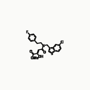 COC(=O)C(O)=CC(=O)N(CCc1ccc(F)cc1)Cc1csc2ccc(Cl)cc12